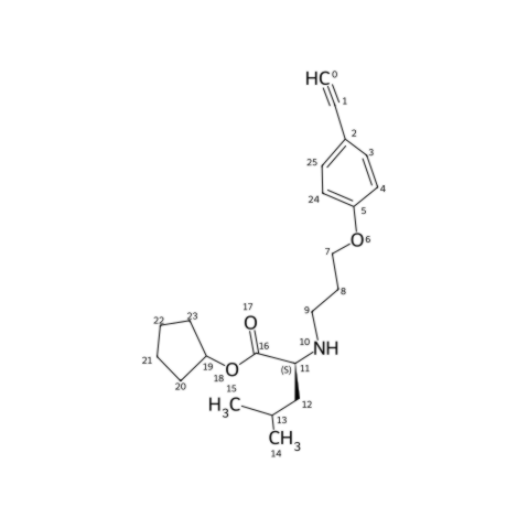 C#Cc1ccc(OCCCN[C@@H](CC(C)C)C(=O)OC2CCCC2)cc1